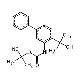 CC(C)(C#N)OC(=O)Nc1cc(-c2ccccc2)ccc1C(C)(C)O